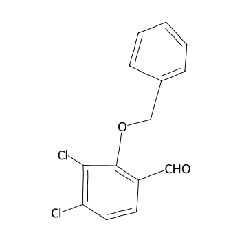 O=Cc1ccc(Cl)c(Cl)c1OCc1ccccc1